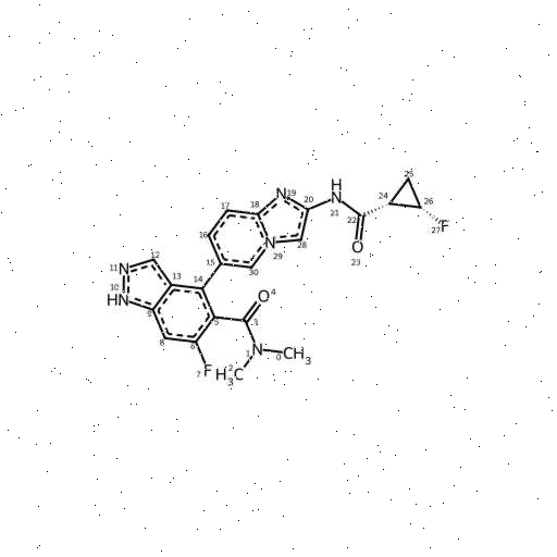 CN(C)C(=O)c1c(F)cc2[nH]ncc2c1-c1ccc2nc(NC(=O)[C@@H]3C[C@@H]3F)cn2c1